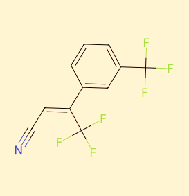 N#C/C=C(/c1cccc(C(F)(F)F)c1)C(F)(F)F